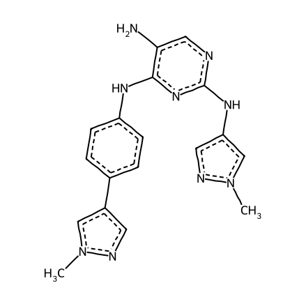 Cn1cc(Nc2ncc(N)c(Nc3ccc(-c4cnn(C)c4)cc3)n2)cn1